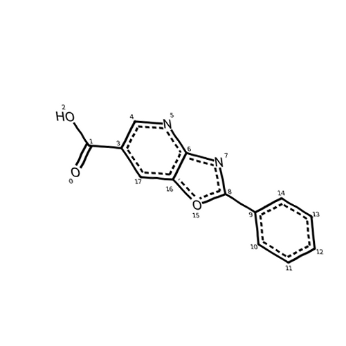 O=C(O)c1cnc2nc(-c3ccccc3)oc2c1